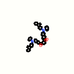 CC1(C)c2ccccc2-c2ccc(N(c3ccccc3)c3ccc4cc5c(cc4c3)oc3ccc4oc6cc7cc(N(c8ccccc8)c8ccc9c(c8)C(C)(C)c8ccccc8-9)ccc7cc6c4c35)cc21